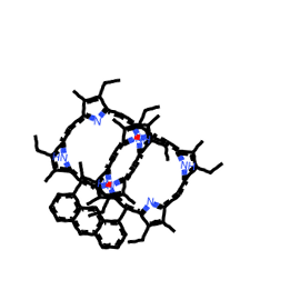 CCC1=C(C)c2cc3[nH]c(c(C)c3CC)c(-c3cccc4cc5cccc(-c6c7nc(cc8[nH]c(cc9nc(cc%10[nH]c6c(C)c%10CC)C(C)=C9CC)c(C)c8CC)C(C)=C7CC)c5cc34)c3nc(cc4[nH]c(cc1n2)c(C)c4CC)C(C)=C3CC